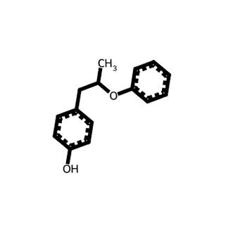 CC(Cc1ccc(O)cc1)Oc1ccccc1